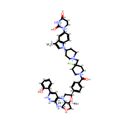 Cc1cn(C2CCN(CC3(F)CCN(C(=O)c4ccc([C@@H]5CN(c6cc(-c7ccccc7O)nnc6N)[C@@H]6COC[C@@H]6O5)cc4)CC3)CC2)c2ccc(N3CCC(=O)NC3=O)cc12